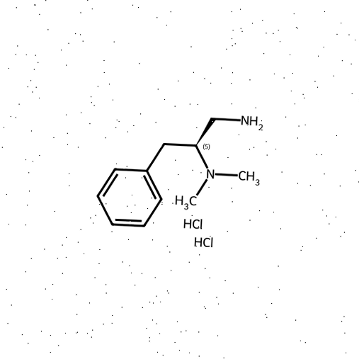 CN(C)[C@H](CN)Cc1ccccc1.Cl.Cl